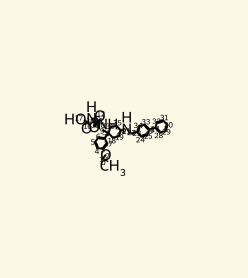 CCOc1cccc(C2(CNS(=O)(=O)NC(=O)O)CCC(NCc3ccc(-c4ccccc4)cc3)CC2)c1